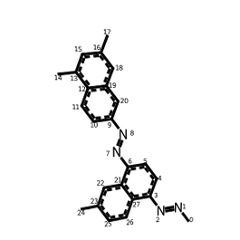 CN=Nc1ccc(N=Nc2ccc3c(C)cc(C)cc3c2)c2cc(C)ccc12